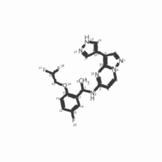 CC(Nc1ccn2ncc(-c3cn[nH]c3)c2n1)c1cc(F)ccc1OCC(F)F